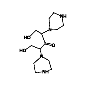 O=C(C(CO)N1CCNCC1)C(CO)N1CCNCC1